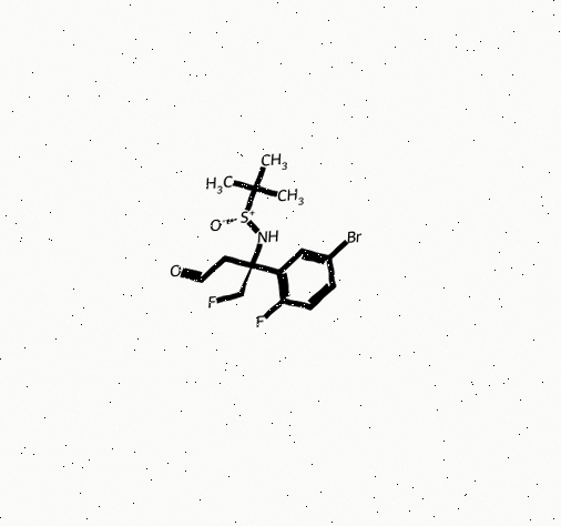 CC(C)(C)[S@@+]([O-])N[C@@](CF)(CC=O)c1cc(Br)ccc1F